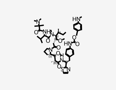 CC[C@H](C)[C@@H]([C@@H](CC(=O)N1CCC[C@H]1[C@H](OC)[C@@H](C)C(=O)N[C@@H](Cc1ccc(NC(=O)OCc2ccc(NC)cc2)cc1)c1nccs1)OC)N(C)C(=O)[C@@H](NC(=O)C(C)(C)N(C)C)C(C)C